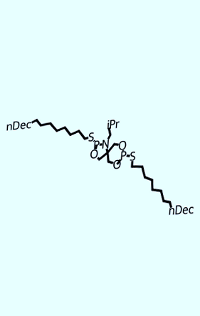 CCCCCCCCCCCCCCCCCCSP1OCC2(CO1)COP(SCCCCCCCCCCCCCCCCCC)N2CC(C)C